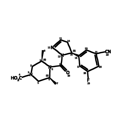 C[C@@H]1CN(C(=O)O)C[C@H](C)N1C(=O)N1N=CC[C@H]1c1cc(F)cc(C#N)c1